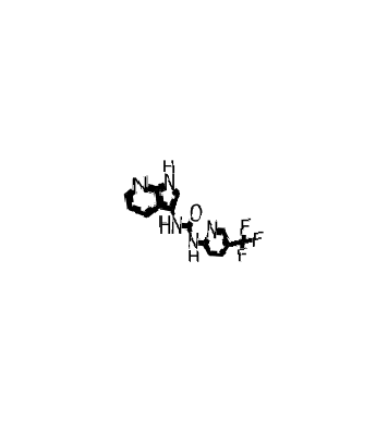 O=C(Nc1ccc(C(F)(F)F)cn1)Nc1c[nH]c2ncccc12